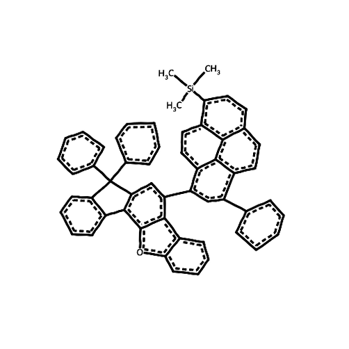 C[Si](C)(C)c1ccc2ccc3c(-c4ccccc4)cc(-c4cc5c(c6oc7ccccc7c46)-c4ccccc4C5(c4ccccc4)c4ccccc4)c4ccc1c2c34